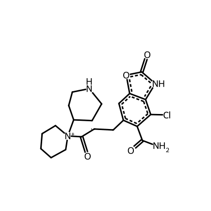 NC(=O)c1c(C[CH]C(=O)[N+]2(C3CCNCC3)CCCCC2)cc2oc(=O)[nH]c2c1Cl